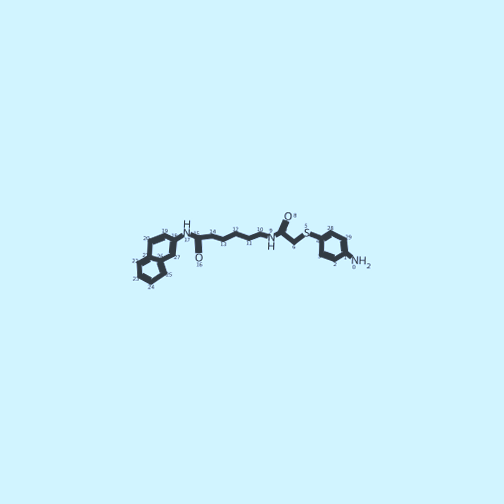 Nc1ccc(SCC(=O)NCCCCCC(=O)Nc2ccc3ccccc3c2)cc1